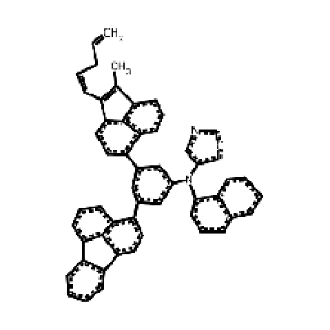 C=CC/C=C\C1=C(C)c2cccc3c(-c4cc(-c5ccc6c7c(cccc57)-c5ccccc5-6)cc(N(c5cccnc5)c5cccc6ccccc56)c4)ccc1c23